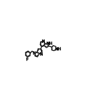 Fc1cccc(Cn2ccc3ncc(-c4ccnc5[nH]c(C6=CCNCC6)cc45)cc32)c1